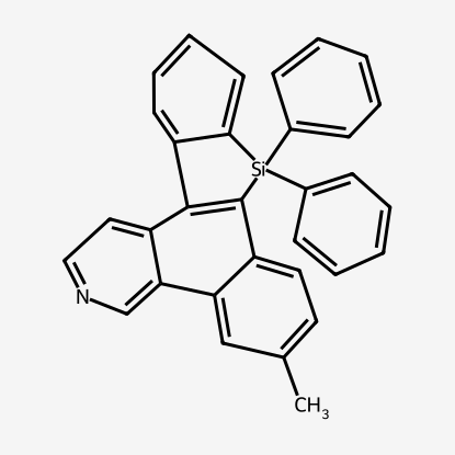 Cc1ccc2c3c(c4ccncc4c2c1)-c1ccccc1[Si]3(c1ccccc1)c1ccccc1